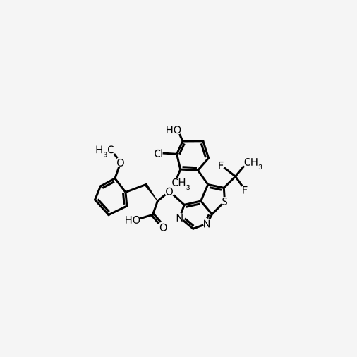 COc1ccccc1C[C@@H](Oc1ncnc2sc(C(C)(F)F)c(-c3ccc(O)c(Cl)c3C)c12)C(=O)O